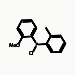 COc1ccccc1P(Cl)c1ccccc1C